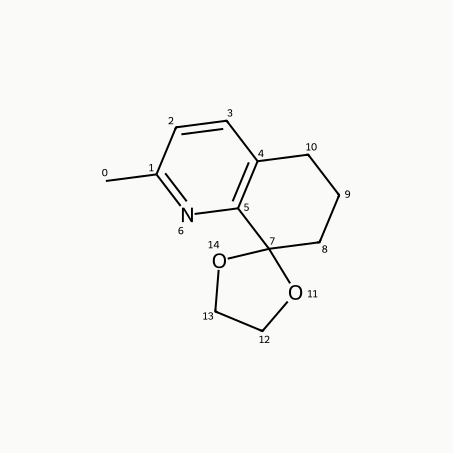 Cc1ccc2c(n1)C1(CCC2)OCCO1